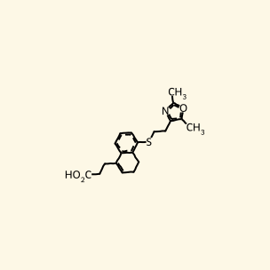 Cc1nc(CCSc2cccc3c2CCC=C3CCC(=O)O)c(C)o1